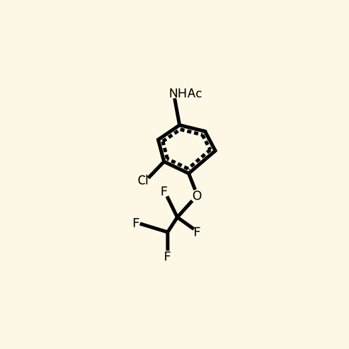 CC(=O)Nc1ccc(OC(F)(F)C(F)F)c(Cl)c1